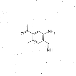 CC(=O)c1cc(N)c(C=N)cc1C